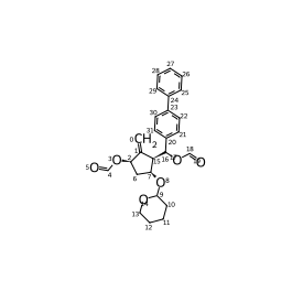 C=C1[C@H](OC=O)C[C@H](OC2CCCCO2)[C@@H]1C(OC=O)c1ccc(-c2ccccc2)cc1